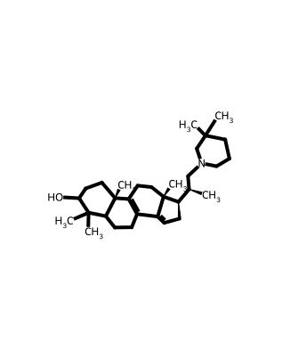 C[C@H](CN1CCCC(C)(C)C1)[C@H]1CC=C2C3=C(CC[C@@]21C)[C@@]1(C)CCC(O)C(C)(C)C1CC3